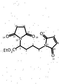 CCOC(=O)C(CCCN1C(=O)C=CC1=O)N1C(=O)CCC1=O